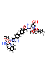 COC(=O)N[C@H]1CCc2cccc3c2N(C1=O)[C@H](c1ncc(-c2ccc(-c4ccc(C(=O)CNC(=O)[C@@H]5C[C@H](O)CN5C(=O)OC(C)(C)C)cc4)cc2)[nH]1)C3